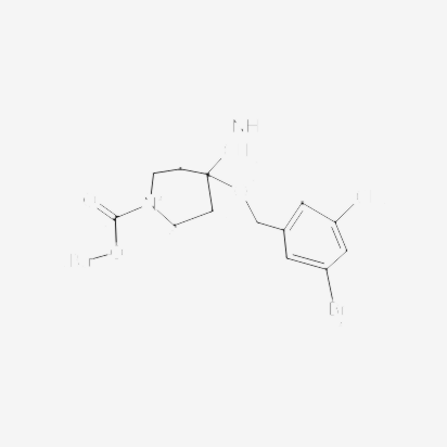 CC(C)(C)OC(=O)N1CCC(C)(OCc2cc(Br)cc(C(F)(F)F)c2)CC1.N